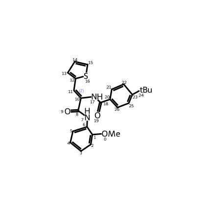 COc1ccccc1NC(=O)/C(=C/c1cccs1)NC(=O)c1ccc(C(C)(C)C)cc1